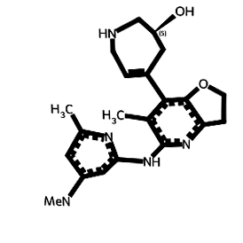 CNc1cc(C)nc(Nc2nc3c(c(C4=CCNC[C@@H](O)C4)c2C)OCC3)c1